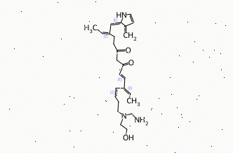 C=c1cc[nH]/c1=C/C(=C\C)CCC(=O)CC(=O)/C=C/C(/C=C\CCN(CN)CCO)=C/C